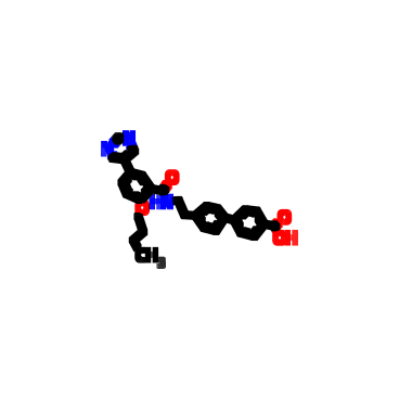 CCCCOc1ccc(-c2cncnc2)cc1C(=O)NCCc1ccc(-c2ccc(C(=O)O)cc2)cc1